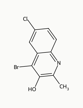 Cc1nc2ccc(Cl)cc2c(Br)c1O